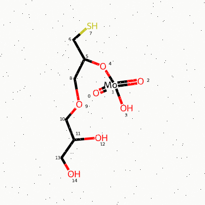 [O]=[Mo](=[O])([OH])[O]C(CS)COCC(O)CO